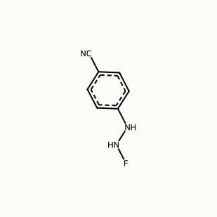 N#Cc1ccc(NNF)cc1